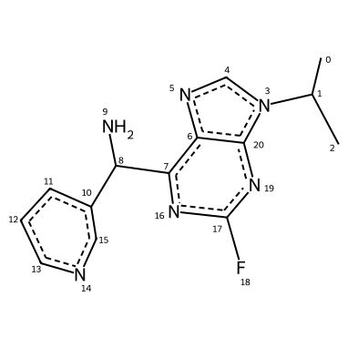 CC(C)n1cnc2c(C(N)c3cccnc3)nc(F)nc21